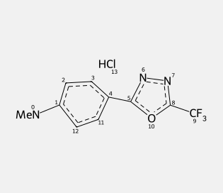 CNc1ccc(-c2nnc(C(F)(F)F)o2)cc1.Cl